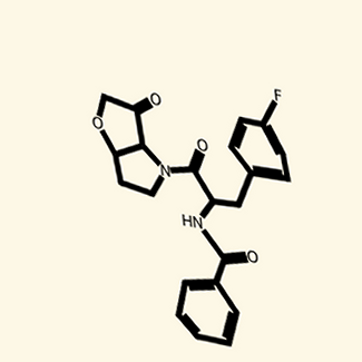 O=C(NC(Cc1ccc(F)cc1)C(=O)N1CCC2OCC(=O)C21)c1ccccc1